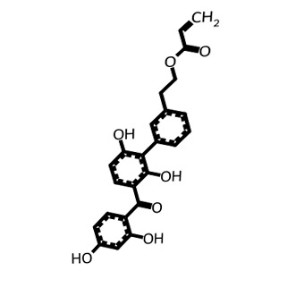 C=CC(=O)OCCc1cccc(-c2c(O)ccc(C(=O)c3ccc(O)cc3O)c2O)c1